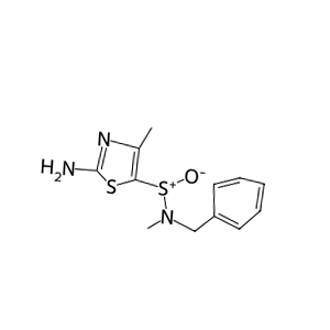 Cc1nc(N)sc1[S+]([O-])N(C)Cc1ccccc1